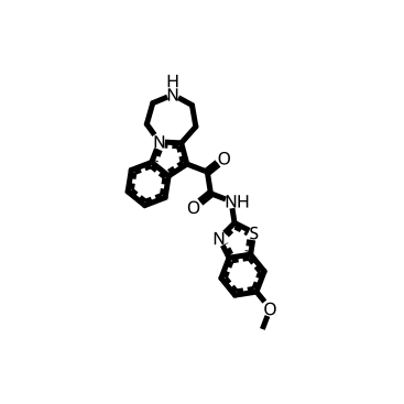 COc1ccc2nc(NC(=O)C(=O)c3c4n(c5ccccc35)CCNCC4)sc2c1